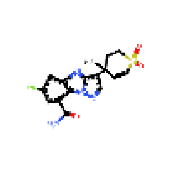 CC1(c2cnn3c2[nH]c2cc(F)cc(C(N)=O)c23)C=CS(=O)(=O)CC1